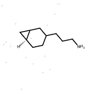 NCCCC1CC[C@H]2CC2C1